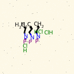 C=CCN=[P].C=CCN=[P].C=CCN=[P].Cl.Cl.Cl